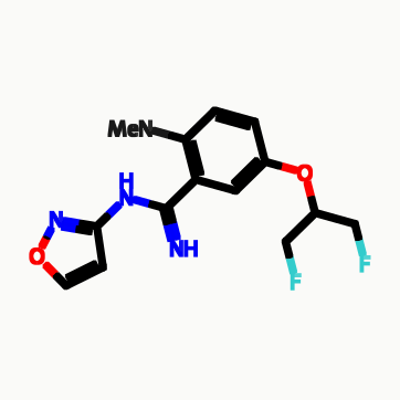 CNc1ccc(OC(CF)CF)cc1C(=N)Nc1ccon1